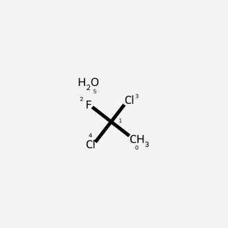 CC(F)(Cl)Cl.O